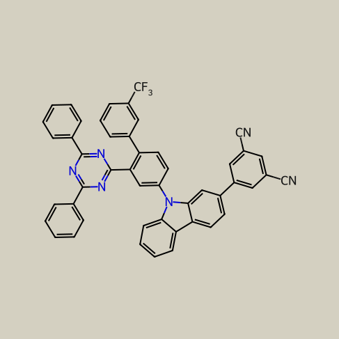 N#Cc1cc(C#N)cc(-c2ccc3c4ccccc4n(-c4ccc(-c5cccc(C(F)(F)F)c5)c(-c5nc(-c6ccccc6)nc(-c6ccccc6)n5)c4)c3c2)c1